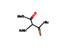 CCCCC(=S)C(NC(C)=O)C(=O)OC